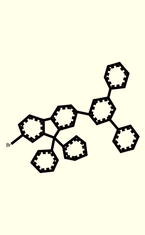 Brc1ccc2c(c1)C(c1ccccc1)(c1ccccc1)c1cc(-c3cc(-c4ccccc4)cc(-c4ccccc4)c3)ccc1-2